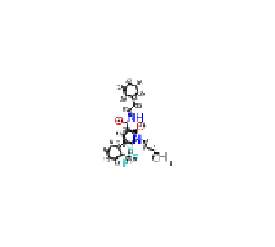 CCCCn1cc(-c2ccccc2C(F)(F)F)cc(C(=O)NCCc2ccccc2)c1=O